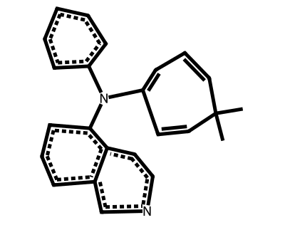 CC1(C)C=CC=C(N(c2ccccc2)c2cccc3cnccc23)C=C1